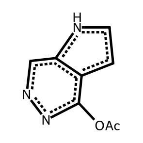 CC(=O)Oc1nncc2[nH]ccc12